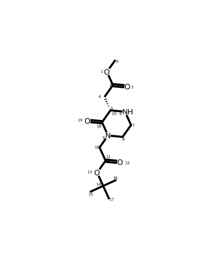 COC(=O)C[C@@H]1NCCN(CC(=O)OC(C)(C)C)C1=O